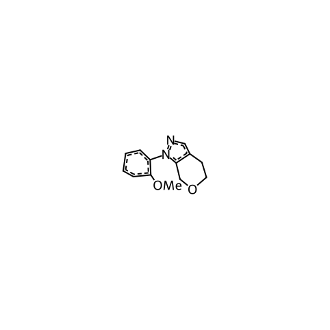 COc1ccccc1-n1ncc2c1COCC2